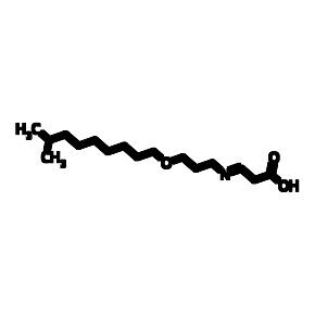 CC(C)CCCCCCCOCCCN=CCC(=O)O